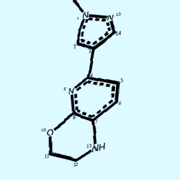 Cn1cc(-c2ccc3c(n2)OCCN3)cn1